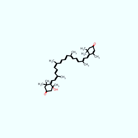 CC(C=CC=CC(C)=CC=CC(C)=CC=C1C(C)(C)CC(=O)CC1(C)O)=CC=CC(C)=CC=C1C(C)=CC(=O)CC1(C)C